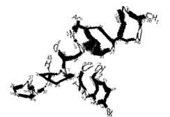 CC(=O)c1nn(CC(=O)N2[C@H](C(=O)Nc3nc(Br)ccc3C)C[C@@]3(Cn4cncn4)C[C@@H]23)c2cnc(-c3cnc(C)nc3)cc12